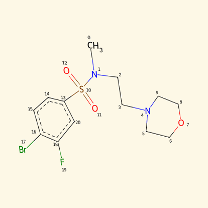 CN(CCN1CCOCC1)S(=O)(=O)c1ccc(Br)c(F)c1